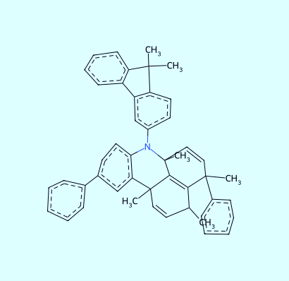 CC1C=CC2(C)C3=C1C(C)(c1ccccc1)C=CC3(C)N(c1ccc3c(c1)-c1ccccc1C3(C)C)c1ccc(-c3ccccc3)cc12